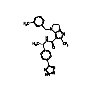 C[C@H](NC(=O)c1c(C(F)(F)F)nn2c1N(Cc1cccc(C(F)(F)F)c1)CC2)c1ccc(-c2nn[nH]n2)cc1